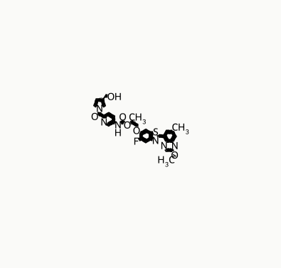 COc1cnc2c(-c3nc4cc(F)c(OC[C@@H](C)OC(=O)Nc5ccc(C(=O)N6CC[C@@H](CO)C6)nc5)cc4s3)cc(C)cc2n1